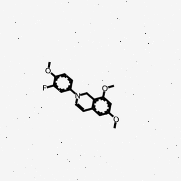 COc1cc2c(c(OC)c1)CN(c1ccc(OC)c(F)c1)C=C2